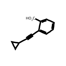 O=C(O)c1ccccc1C#CC1CC1